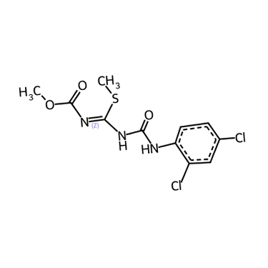 COC(=O)/N=C(/NC(=O)Nc1ccc(Cl)cc1Cl)SC